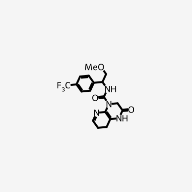 COCC(NC(=O)N1CC(=O)NC2=C1N=CCC2)c1ccc(C(F)(F)F)cc1